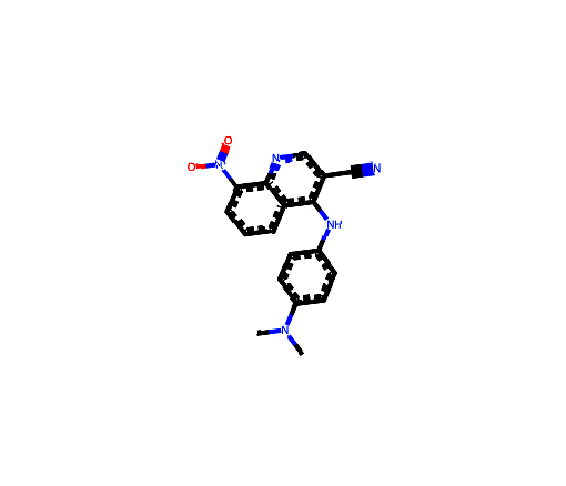 CN(C)c1ccc(Nc2c(C#N)cnc3c([N+](=O)[O-])cccc23)cc1